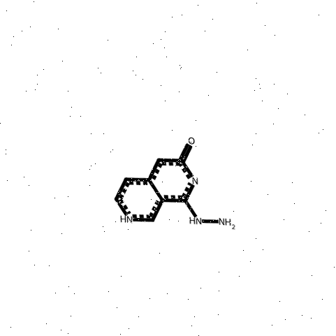 NNc1nc(=O)cc2cc[nH]cc1-2